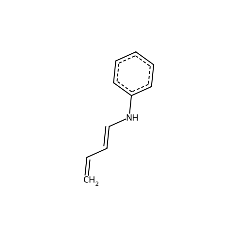 C=CC=CNc1ccccc1